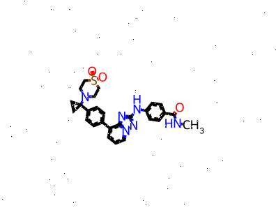 CNC(=O)c1ccc(Nc2nc3c(-c4ccc(C5(N6CCS(=O)(=O)CC6)CC5)cc4)cccn3n2)cc1